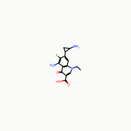 CCn1cc(C(=O)O)c(=O)c2c(N)c(F)c(C3CC3N)cc21